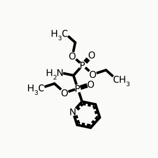 CCOP(=O)(OCC)C(N)P(=O)(OCC)c1ccccn1